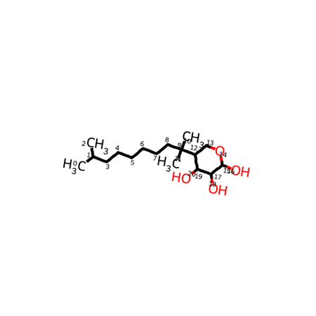 CC(C)CCCCCCC(C)(C)C1COC(O)C(O)C1O